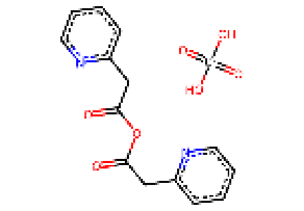 O=C(Cc1ccccn1)OC(=O)Cc1ccccn1.[O]=[Cr](=[O])([OH])[OH]